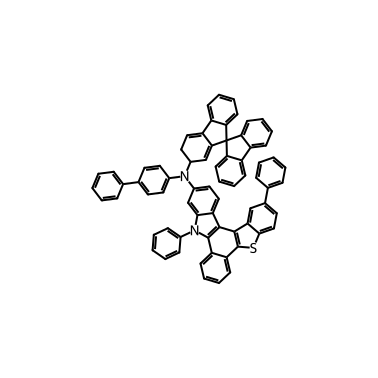 C1=C2C(=CC(N(c3ccc(-c4ccccc4)cc3)c3ccc4c5c6c7cc(-c8ccccc8)ccc7sc6c6ccccc6c5n(-c5ccccc5)c4c3)C1)C1(c3ccccc32)c2ccccc2-c2ccccc21